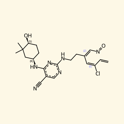 C=C/C(Cl)=C\C(=C/N=O)CCNc1ncc(C#N)c(N[C@@H]2CC[C@H](O)C(C)(C)C2)n1